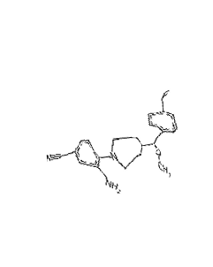 CO[C@H](c1ccc(F)cc1)C1CCN(c2ccc(C#N)cc2N)CC1